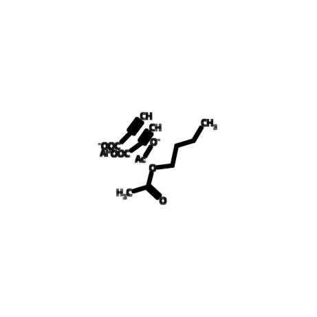 C#CC(=O)[O-].C#CC(=O)[O-].CC(=O)[O-].CCCCOC(C)=O.[Al+3]